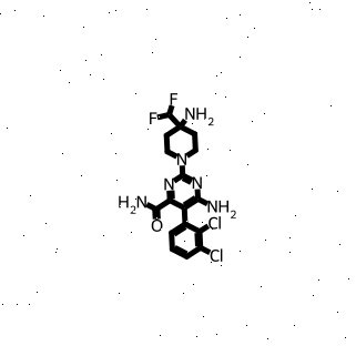 NC(=O)c1nc(N2CCC(N)(C(F)F)CC2)nc(N)c1-c1cccc(Cl)c1Cl